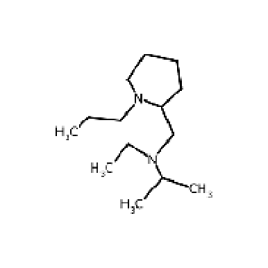 CCCN1CCCCC1CN(CC)C(C)C